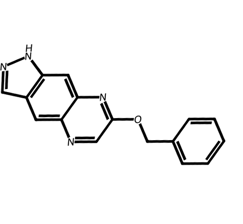 c1ccc(COc2cnc3cc4cn[nH]c4cc3n2)cc1